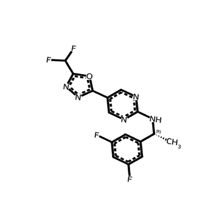 C[C@@H](Nc1ncc(-c2nnc(C(F)F)o2)cn1)c1cc(F)cc(F)c1